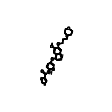 COc1cc2c(Oc3ccc(NC(=O)c4cscn4)nc3)ccnc2cc1OCCCN1CCOCC1